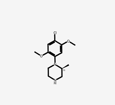 COc1cc(N2CCNC[C@@H]2C)c(OC)cc1Cl